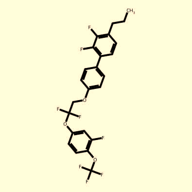 CCCc1ccc(-c2ccc(OCC(F)(F)Oc3ccc(OC(F)(F)F)c(F)c3)cc2)c(F)c1F